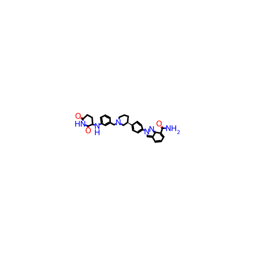 NC(=O)c1cccc2cn(-c3ccc([C@@H]4CCCN(Cc5cccc(NC6CCC(=O)NC6=O)c5)C4)cc3)nc12